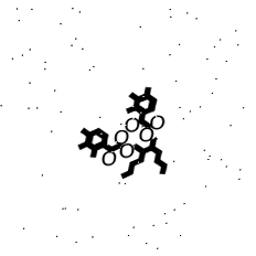 CCCCC(COC(=O)C(=O)c1ccc(C)c(C)c1C)C(CCCC)COC(=O)C(=O)c1ccc(C)c(C)c1C